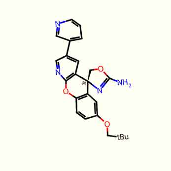 CC(C)(C)COc1ccc2c(c1)[C@]1(COC(N)=N1)c1cc(-c3cccnc3)cnc1O2